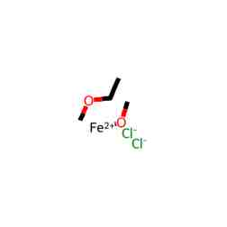 CCOC.C[O][Fe+2].[Cl-].[Cl-]